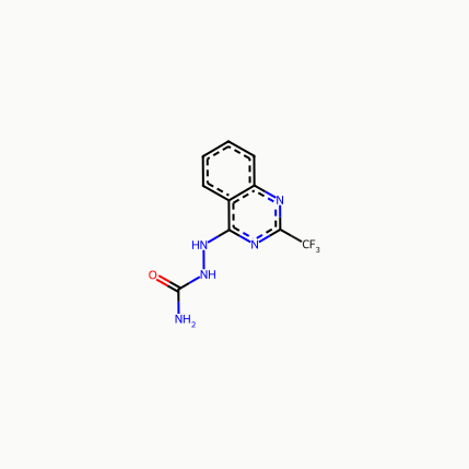 NC(=O)NNc1nc(C(F)(F)F)nc2ccccc12